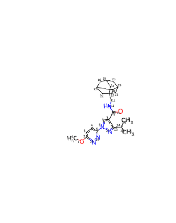 COc1ccc(-n2cc(C(=O)NCC34CC5CC(CC(C5)C3)C4)c(C(C)C)n2)nn1